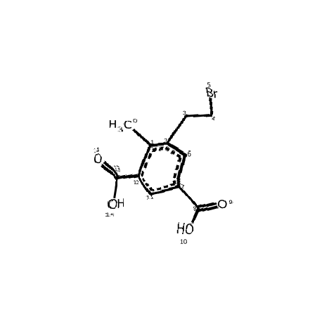 Cc1c(CCBr)cc(C(=O)O)cc1C(=O)O